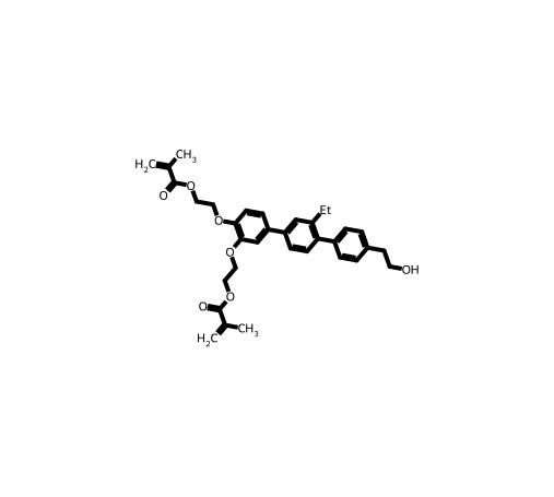 C=C(C)C(=O)OCCOc1ccc(-c2ccc(-c3ccc(CCO)cc3)c(CC)c2)cc1OCCOC(=O)C(=C)C